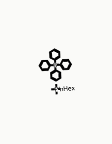 CCCCCC[P+](C)(C)C.c1ccc([B-](c2ccccc2)(c2ccccc2)c2ccccc2)cc1